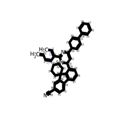 C=C/C=C\C(=C/C)C1=NC(C2C=CC(c3ccccc3)=CC2)=CC(c2cccc3c2C2(CCCCC2)c2cc(C#N)ccc2-3)N1